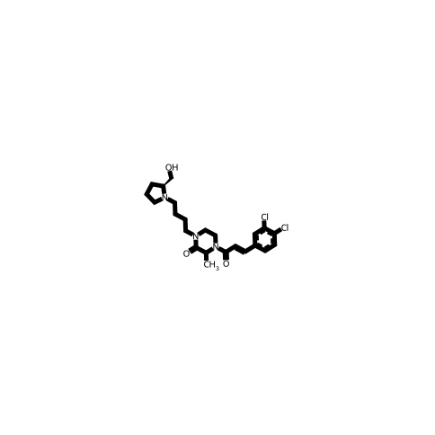 CC1C(=O)N(CCCCN2CCC[C@H]2CO)CCN1C(=O)C=Cc1ccc(Cl)c(Cl)c1